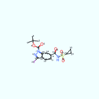 CC(C)(C)OC(=O)n1nc(I)c2ccc(C(=O)NS(=O)(=O)C3CC3)cc21